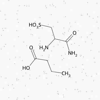 CCCC(=O)O.NC(=O)C(N)CS(=O)(=O)O